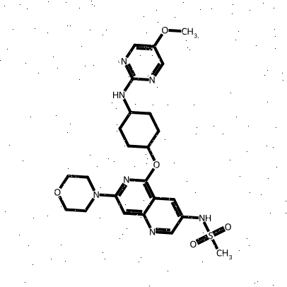 COc1cnc(NC2CCC(Oc3nc(N4CCOCC4)cc4ncc(NS(C)(=O)=O)cc34)CC2)nc1